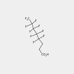 O=C(O)CCC(F)(F)C(F)(F)C(F)(F)C(F)(F)C(F)(F)F